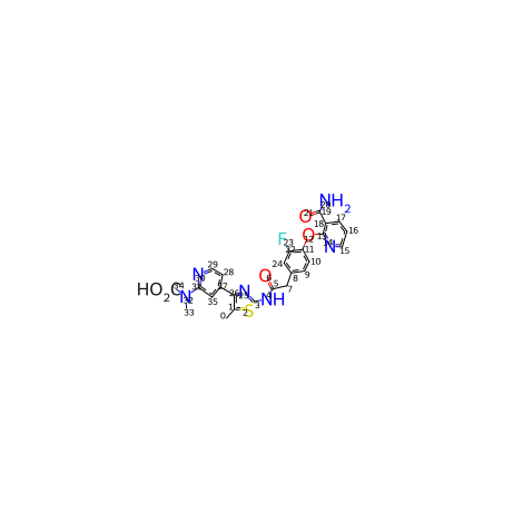 Cc1sc(NC(=O)Cc2ccc(Oc3ncccc3C(N)=O)c(F)c2)nc1-c1ccnc(N(C)C(=O)O)c1